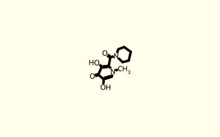 Cn1cc(O)c(=O)c(O)c1C(=O)N1CCCCC1